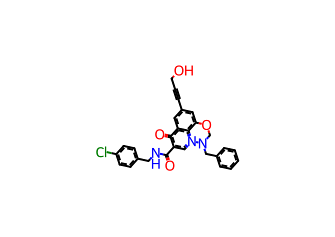 O=C(NCc1ccc(Cl)cc1)c1cn2c3c(cc(C#CCO)cc3c1=O)OCN2Cc1ccccc1